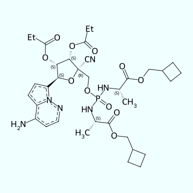 CCC(=O)O[C@H]1[C@H](c2ccc3c(N)ccnn23)O[C@](C#N)(COP(=O)(N[C@@H](C)C(=O)OCC2CCC2)N[C@@H](C)C(=O)OCC2CCC2)[C@H]1OC(=O)CC